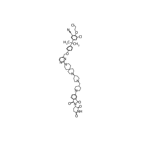 CC(C)(c1ccc(OCc2ccnc(N3CCC4(CC3)CCN(C3CCN(CC5CCN(c6ccc7c(c6)C(=O)N(C6CCC(=O)NC6=O)C7=O)CC5)CC3)CC4)n2)cc1)c1cc(Cl)c(OCCCl)c(C#N)c1